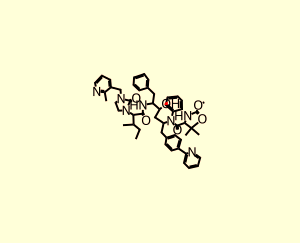 CCC(C)C(C(=O)NC(Cc1ccccc1)C(O)CC(Cc1ccc(-c2ccccn2)cc1)N(C(=O)C(NC(=O)OC)C(C)(C)C)c1ccccc1)N1CCN(Cc2cccnc2C)C1=O